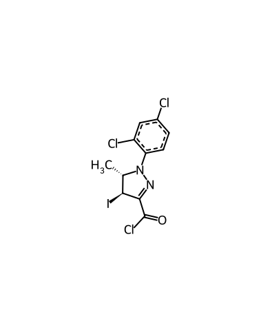 C[C@H]1[C@H](I)C(C(=O)Cl)=NN1c1ccc(Cl)cc1Cl